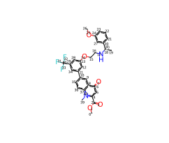 COC(=O)c1cc(=O)c2cc(-c3cc(OCCN[C@H](C)c4cccc(OC)c4)cc(C(F)(F)F)c3)ccc2n1C